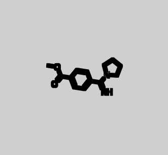 COC(=O)c1ccc(C(=N)N2CCCC2)cc1